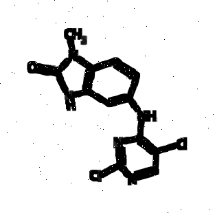 Cn1c(=O)[nH]c2cc(Nc3nc(Cl)ncc3Cl)ccc21